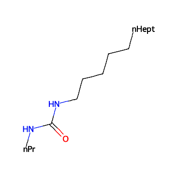 CCCCCCCCCCCCNC(=O)NCCC